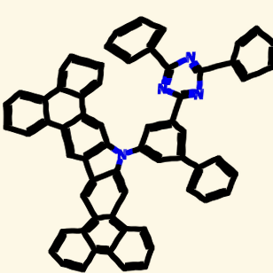 c1ccc(-c2cc(-c3nc(-c4ccccc4)nc(-c4ccccc4)n3)cc(-n3c4cc5c6ccccc6c6ccccc6c5cc4c4cc5c6ccccc6c6ccccc6c5cc43)c2)cc1